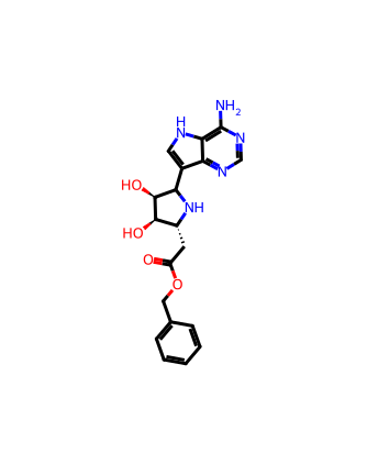 Nc1ncnc2c(C3N[C@H](CC(=O)OCc4ccccc4)[C@@H](O)[C@H]3O)c[nH]c12